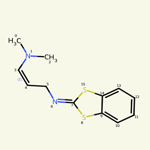 CN(C)/C=C\CN=c1sc2ccccc2s1